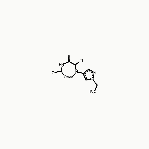 C=C1NC(Cl)OCN(c2cnn(CC(F)(F)F)c2)C1Cl